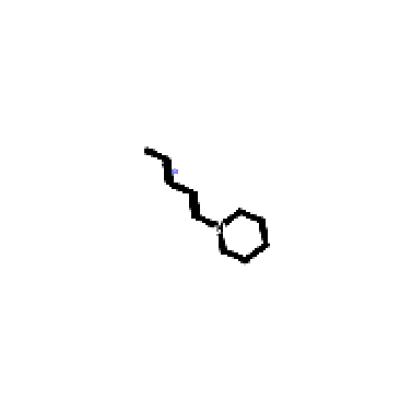 C/C=C/C=CN1CCCCC1